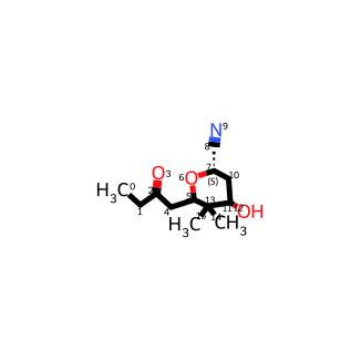 CCC(=O)CC1O[C@H](C#N)CC(O)C1(C)C